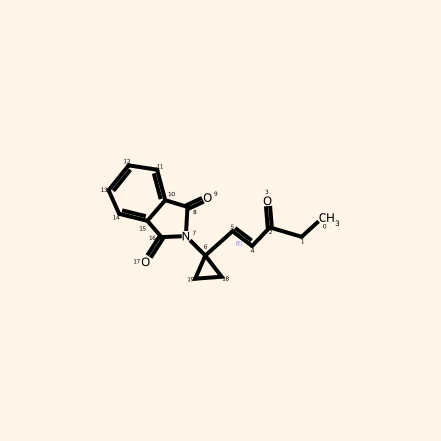 CCC(=O)/C=C/C1(N2C(=O)c3ccccc3C2=O)CC1